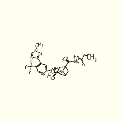 CCC(=O)NNC(=O)C12CC(C)CC(C1)N2C(=O)Nc1cc(-c2ncn(C)n2)c(C(F)(F)F)cn1